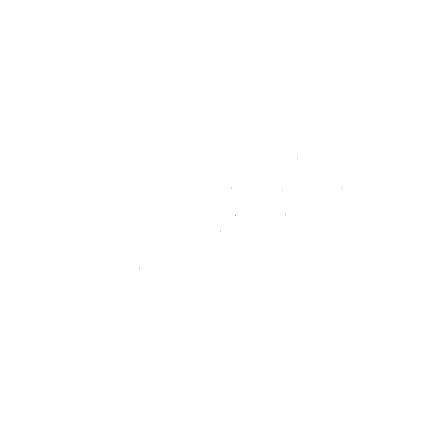 CCC(C)(C)C(=O)SCCOC(=O)COC1C2CC3C(S2)C1OS3(=O)=O